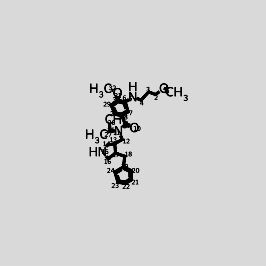 COCCCNc1cc(C(=O)N(CC2CNCC2Cc2ccccc2)C(C)C)ccc1OC